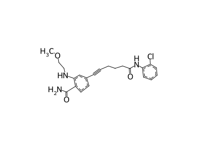 COCCNc1cc(C#CCCCC(=O)Nc2ccccc2Cl)ccc1C(N)=O